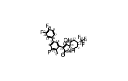 Cc1c(F)cc(-c2ccc(F)c(F)c2)cc1C1=C(O)[C@]2(CC[C@@H](C(F)(F)F)CC2)NC1=O